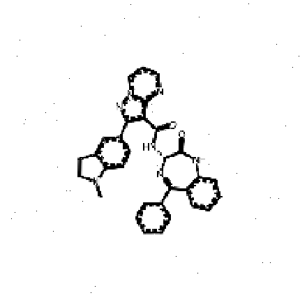 CN1CCc2cc(-c3nn4cccnc4c3C(=O)N[C@H]3N=C(c4ccccc4)c4ccccc4NC3=O)ccc21